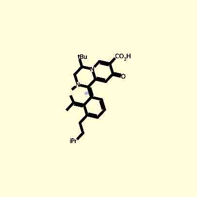 CC(C)=c1c(CCC(C)C)ccc/c1=C1\c2cc(=O)c(C(=O)O)cn2C(C(C)(C)C)CN1C